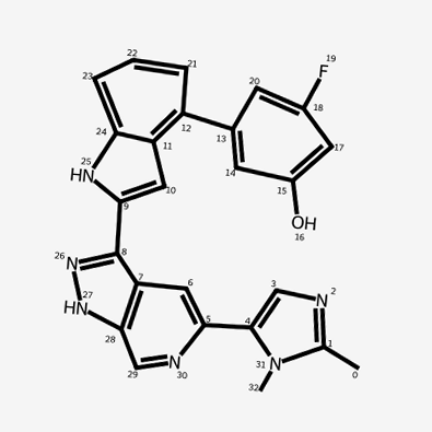 Cc1ncc(-c2cc3c(-c4cc5c(-c6cc(O)cc(F)c6)cccc5[nH]4)n[nH]c3cn2)n1C